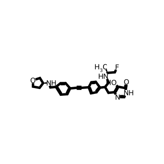 C[C@@H](CF)NCC(Cc1nc[nH]c(=O)c1O)c1ccc(C#Cc2ccc(CN[C@H]3CCOC3)cc2)cc1